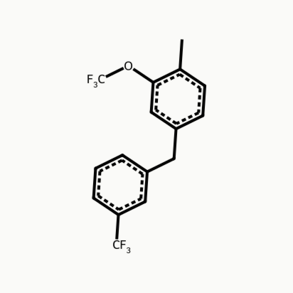 Cc1ccc(Cc2cccc(C(F)(F)F)c2)cc1OC(F)(F)F